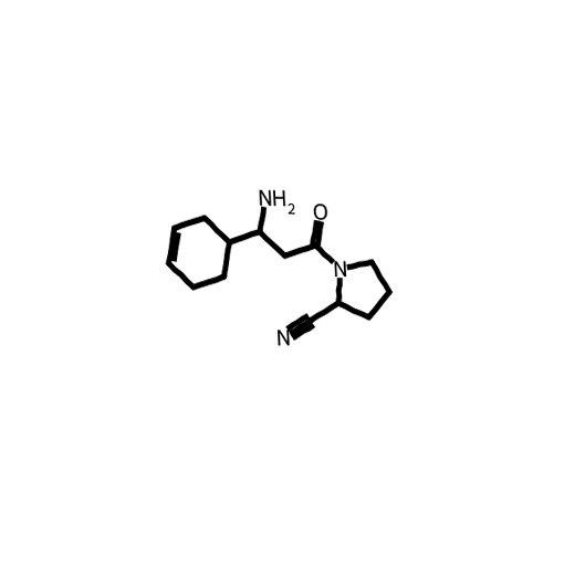 N#CC1CCCN1C(=O)CC(N)C1CC=CCC1